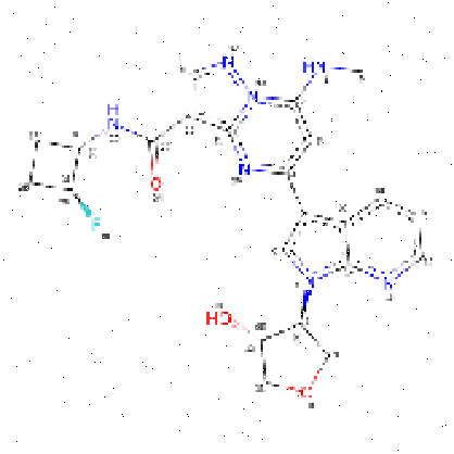 CNc1cc(-c2cn([C@H]3COC[C@@H]3O)c3ncccc23)nc2c(C(=O)N[C@H]3CC[C@@H]3F)cnn12